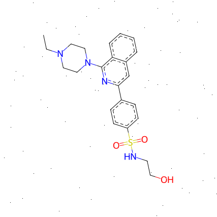 CCN1CCN(c2nc(-c3ccc(S(=O)(=O)NCCO)cc3)cc3ccccc23)CC1